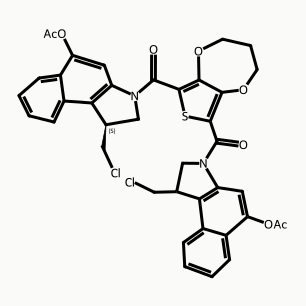 CC(=O)Oc1cc2c(c3ccccc13)C(CCl)CN2C(=O)c1sc(C(=O)N2C[C@@H](CCl)c3c2cc(OC(C)=O)c2ccccc32)c2c1OCCCO2